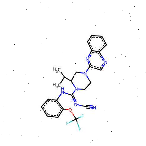 CC(C)C1CN(c2cnc3ccccc3n2)CCN1/C(=N\C#N)Nc1ccccc1OC(F)(F)F